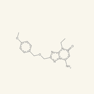 CCn1c(=O)cc(N)n2nc(COCc3ccc(OC)cc3)nc12